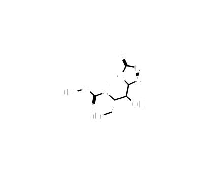 CC(C)C[C@H](NC(=O)OC(C)(C)C)C(O)C1N=NC(=S)O1